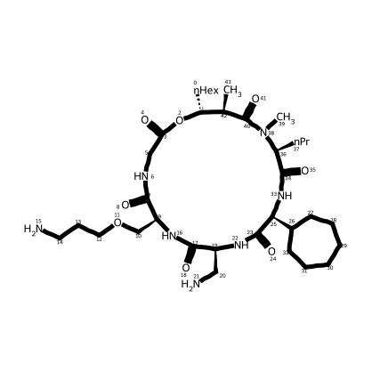 CCCCCC[C@H]1OC(=O)CNC(=O)[C@H](COCCCN)NC(=O)[C@H](CN)NC(=O)[C@H](C2CCCCCC2)NC(=O)[C@H](CCC)N(C)C(=O)[C@@H]1C